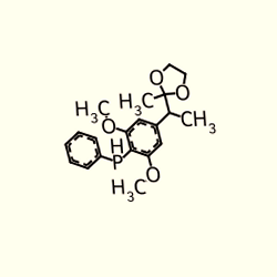 COc1cc(C(C)C2(C)OCCO2)cc(OC)c1Pc1ccccc1